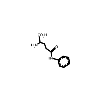 NC(CCC(=O)Nc1ccccc1)C(=O)O